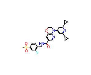 CS(=O)(=O)c1ccc(CNC(=O)c2cnc3c(c2)OCCN3c2cc(C3CC3)nc(C3CC3)c2)c(F)c1